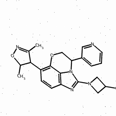 CC1=NOC(C)C1c1ccc2nc(N3CC(O)C3)n3c2c1OCC3c1cccnc1